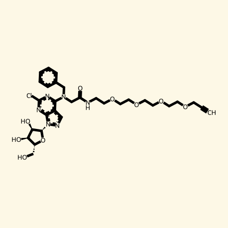 C#CCOCCOCCOCCOCCNC(=O)CN(Cc1ccccc1)c1nc(Cl)nc2c1cnn2[C@@H]1O[C@H](CO)[C@@H](O)[C@H]1O